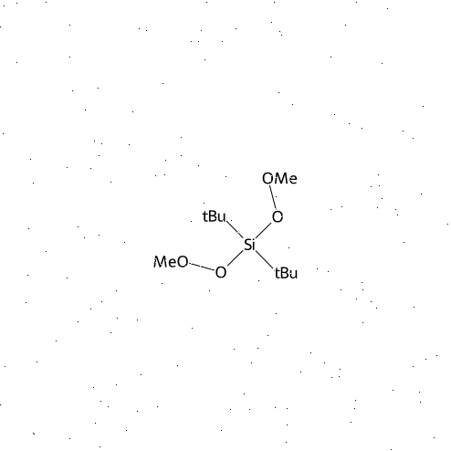 COO[Si](OOC)(C(C)(C)C)C(C)(C)C